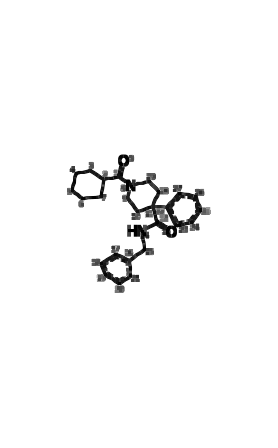 O=C(C1CCCCC1)N1CCC(C(=O)NCc2ccccc2)(c2ccccc2)CC1